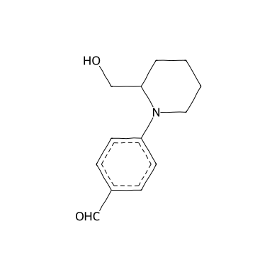 O=Cc1ccc(N2CCCCC2CO)cc1